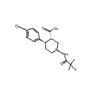 O=C(O)[C@@H]1CN(NC(=O)C(F)(F)F)CC[C@H]1c1ccc(Cl)cc1